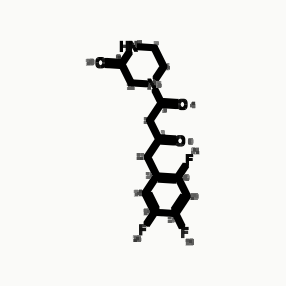 O=C(CC(=O)N1CCNC(=O)C1)Cc1cc(F)c(F)cc1F